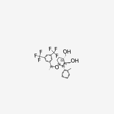 Cc1ccccc1[C@H]1[C@H](CO)[C@@H](CO)CC[C@@H]1O[C@H](C)c1cc(C(F)(F)F)cc(C(F)(F)F)c1